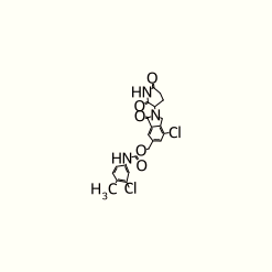 Cc1ccc(NC(=O)OCc2cc(Cl)c3c(c2)C(=O)N(C2CCC(=O)NC2=O)C3)cc1Cl